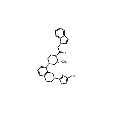 C[C@@H]1CN(c2cccc3c2CN(c2nc(C#N)cs2)CC3)CCN1C(=O)Cn1cnc2cccnc21